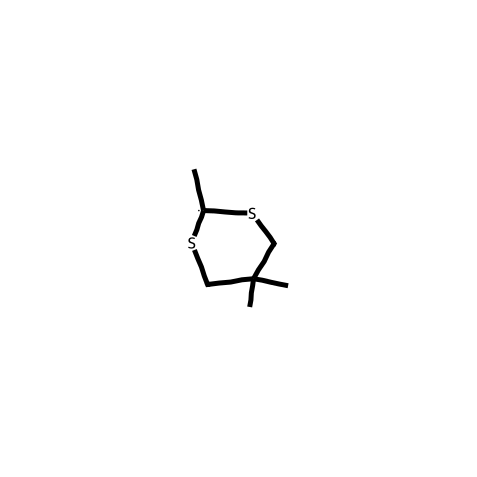 C[C]1SCC(C)(C)CS1